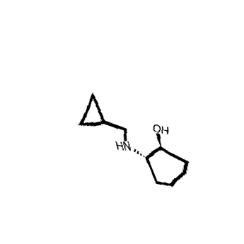 O[C@H]1CCCC[C@@H]1NCC1CC1